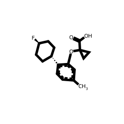 Cc1ccc([C@H]2CC[C@H](F)CC2)c(OC2(C(=O)O)CC2)c1